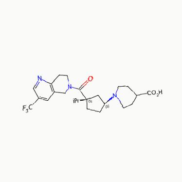 CC(C)[C@]1(C(=O)N2CCc3ncc(C(F)(F)F)cc3C2)CC[C@H](N2CCC(C(=O)O)CC2)C1